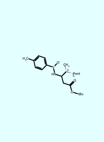 CCC[C@@H](C)[C@@H](C)C(CC(=O)OC(C)(C)C)N[S+]([O-])c1ccc(C)cc1